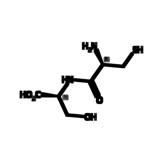 N[C@@H](CS)C(=O)N[C@@H](CO)C(=O)O